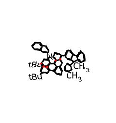 CC1C=CC=C(C2(C)c3ccccc3-c3ccc(-c4ccc(N(c5ccc6ccccc6c5)c5ccccc5-c5cccc6cccc(-c7cc(C(C)(C)C)cc(C(C)(C)C)c7)c56)cc4)cc32)C1